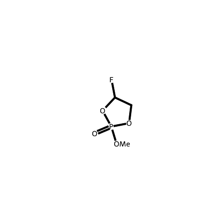 COP1(=O)OCC(F)O1